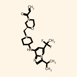 C=CC(=O)N1CCO[C@@H](CN2CCC(Nc3cc(C(C)(F)F)cn4c(C(C)C)cnc34)CC2)C1